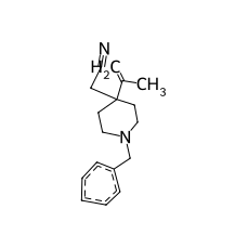 C=C(C)C1(CC#N)CCN(Cc2ccccc2)CC1